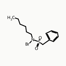 CCCCCCN(Br)S(=O)(=O)Cc1ccccc1